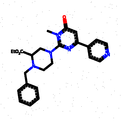 CCOC(=O)C1CN(c2nc(-c3ccncc3)cc(=O)n2C)CCN1Cc1ccccc1